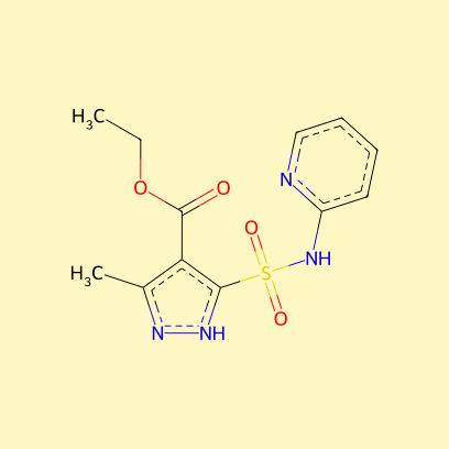 CCOC(=O)c1c(C)n[nH]c1S(=O)(=O)Nc1ccccn1